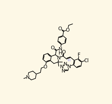 CCOC(=O)c1ccc(NC(=O)C2c3cccc(OCCC4CCN(C)CC4)c3CC(C)(C)N2C(=O)/C=C/c2c(-n3cnnn3)ccc(Cl)c2F)cc1